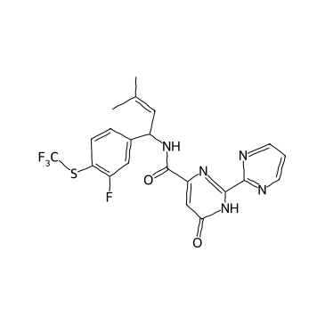 CC(C)=CC(NC(=O)c1cc(=O)[nH]c(-c2ncccn2)n1)c1ccc(SC(F)(F)F)c(F)c1